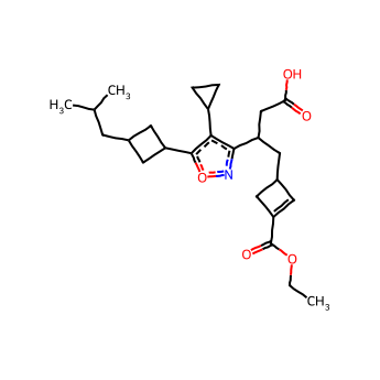 CCOC(=O)C1=CC(CC(CC(=O)O)c2noc(C3CC(CC(C)C)C3)c2C2CC2)C1